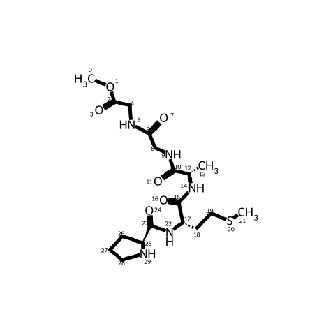 COC(=O)CNC(=O)CNC(=O)[C@H](C)NC(=O)[C@H](CCSC)NC(=O)[C@@H]1CCCN1